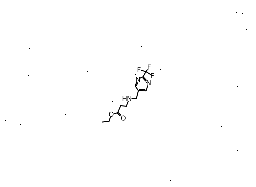 CCOC(=O)CCNCc1cnc(C(F)(F)F)nc1